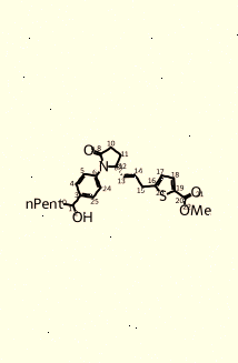 CCCCCC(O)c1ccc(N2C(=O)CC[C@@H]2C=CCc2ccc(C(=O)OC)s2)cc1